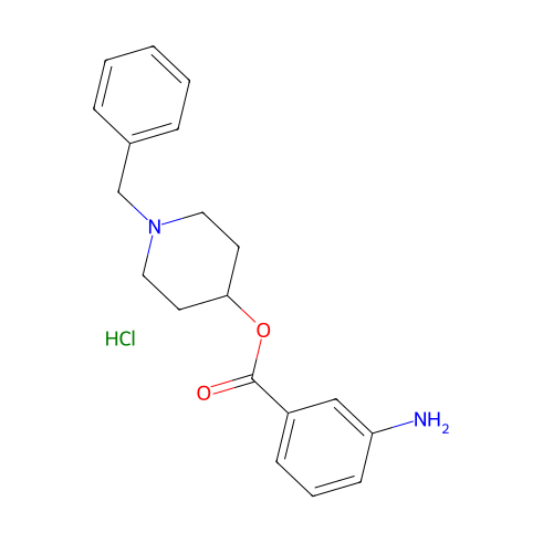 Cl.Nc1cccc(C(=O)OC2CCN(Cc3ccccc3)CC2)c1